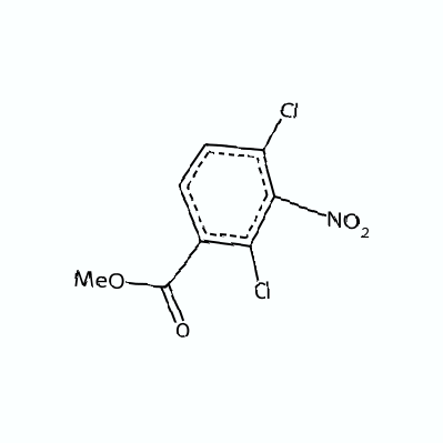 COC(=O)c1ccc(Cl)c([N+](=O)[O-])c1Cl